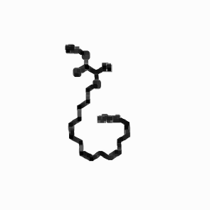 CCCCC/C=C\C/C=C\C/C=C\C/C=C\CCCCOC(CC)C(=O)OC(C)(C)C